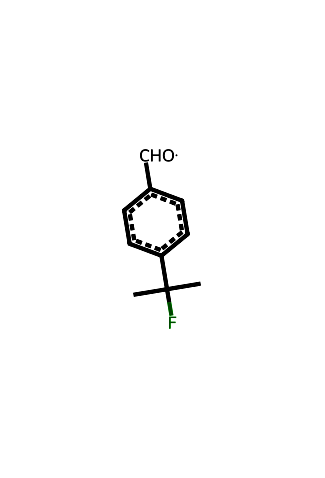 CC(C)(F)c1ccc([C]=O)cc1